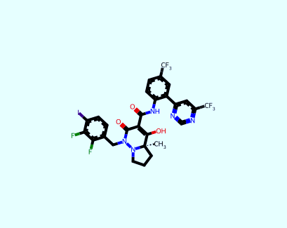 C[C@]12CCCN1N(Cc1ccc(I)c(F)c1F)C(=O)C(C(=O)Nc1ccc(C(F)(F)F)cc1-c1cc(C(F)(F)F)ncn1)=C2O